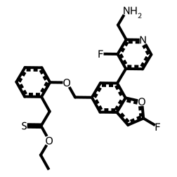 CCOC(=S)Cc1ccccc1OCc1cc(-c2ccnc(CN)c2F)c2oc(F)cc2c1